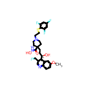 COc1ccc2ncc(CF)c([C@H](O)CCC3(C(=O)NO)CCN(CCSc4c(F)cc(F)cc4F)CC3)c2c1